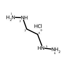 Cl.NNCCNN